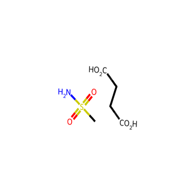 CS(N)(=O)=O.O=C(O)CCC(=O)O